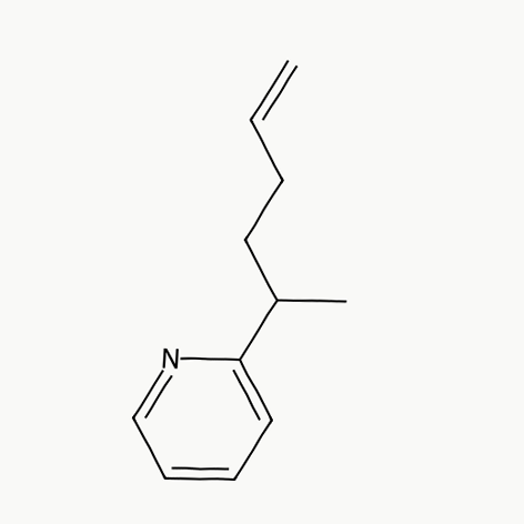 C=CCCC(C)c1ccccn1